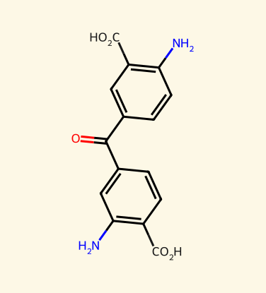 Nc1cc(C(=O)c2ccc(N)c(C(=O)O)c2)ccc1C(=O)O